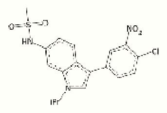 CC(C)n1cc(-c2ccc(Cl)c([N+](=O)[O-])c2)c2ccc(NS(C)(=O)=O)cc21